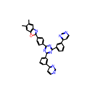 Cc1cc2nc(-c3ccc(-c4nc(-c5cccc(-c6ccncn6)c5)nc(-c5cccc(-c6ccncn6)c5)n4)cc3)oc2cc1C